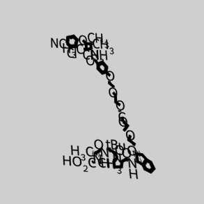 C[C@@H](C(=O)N[C@H](C(=O)N1CCCC1C(=O)N[C@H]1c2ccccc2C[C@H]1OCCOCCOCCOCCOCCOc1ccc(C(=O)NC2C(C)(C)C(Oc3ccc(C#N)c(Cl)c3)C2(C)C)cc1)C(C)(C)C)N(C)C(=O)O